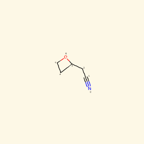 N#CCC1CCO1